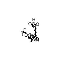 CC(NS(=O)(=O)CCCCCN1CC(=O)NC1=O)c1cc(OCC(F)(F)F)on1